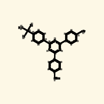 CCCCCCc1ccc(-c2nc(-c3ccc(CCC)cc3)nc(-c3ccc(C(C)(CC)CC)cc3)n2)cc1